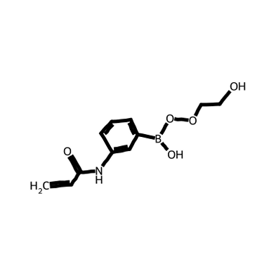 C=CC(=O)Nc1cccc(B(O)OOCCO)c1